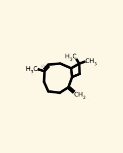 C=C1CCC/C(C)=C\CC2C1CC2(C)C